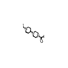 O=C(I)N1CCN(C2CCN(CI)CC2)CC1